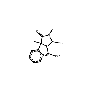 CNC(=O)N1C(C(C)(C)C)N(C)C(=O)C1(C)c1ccccn1